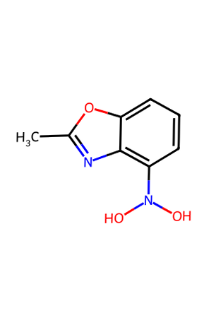 Cc1nc2c(N(O)O)cccc2o1